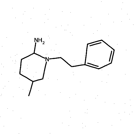 CC1CCC(N)N(CCc2ccccc2)C1